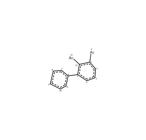 CC(=O)c1cccc(-c2ccccc2)c1C(C)=O